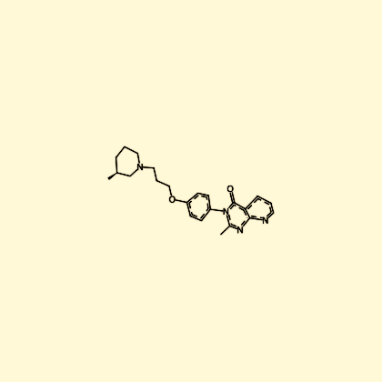 Cc1nc2ncccc2c(=O)n1-c1ccc(OCCCN2CCC[C@H](C)C2)cc1